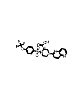 O=C(O)[C@H]1CN(c2ccc3ncccc3n2)CCN1S(=O)(=O)c1ccc(OC(F)(F)F)cc1